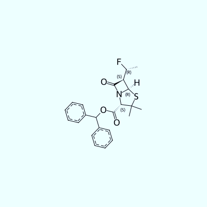 C[C@@H](F)[C@@H]1C(=O)N2[C@@H]1SC(C)(C)[C@@H]2C(=O)OC(c1ccccc1)c1ccccc1